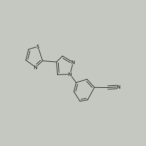 N#Cc1cccc(-n2cc(-c3nccs3)cn2)c1